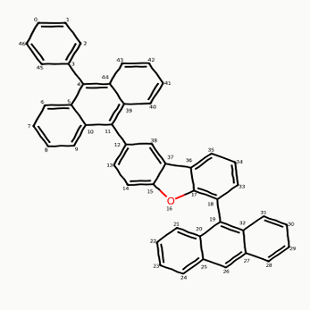 c1ccc(-c2c3ccccc3c(-c3ccc4oc5c(-c6c7ccccc7cc7ccccc67)cccc5c4c3)c3ccccc23)cc1